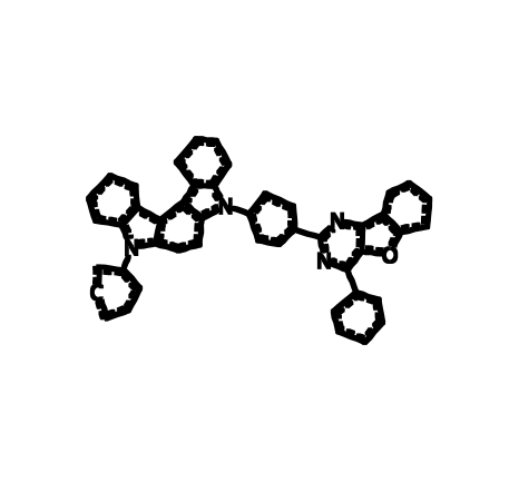 c1ccc(-c2nc(-c3ccc(-n4c5ccccc5c5c6c7ccccc7n(-c7ccccc7)c6ccc54)cc3)nc3c2oc2ccccc23)cc1